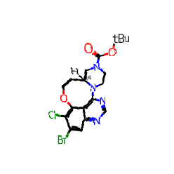 CC(C)(C)OC(=O)N1CCN2c3ncnc4cc(Br)c(Cl)c(c34)OCC[C@@H]2C1